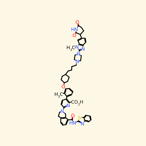 Cc1c(OC2CCC(CCCCN3CCN(c4nc5ccc(C6CCC(=O)NC6=O)cc5n4C)CC3)CC2)cccc1-c1ccc(N2CCc3cccc(C(=O)Nc4nc5ccccc5s4)c3C2)nc1C(=O)O